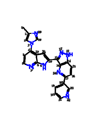 Cc1cn(-c2ccnc3[nH]c(-c4n[nH]c5ccc(-c6cccnc6)nc45)cc23)cn1